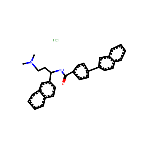 CN(C)CCC(NC(=O)c1ccc(-c2ccc3ccccc3c2)cc1)c1ccc2ccccc2c1.Cl